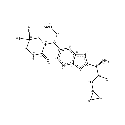 COC[C@H](c1cnn2cc([C@@H](N)C(C)OC3CC3)nc2c1)N1CC(F)(F)CNC1=O